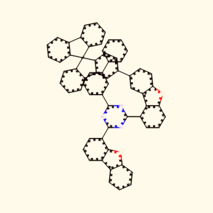 c1ccc(-c2cccc(-c3nc(-c4cccc5c4oc4ccccc45)nc(-c4cccc5oc6ccc(-c7ccc8c(c7)-c7ccccc7C87c8ccccc8-c8ccccc87)cc6c45)n3)c2)cc1